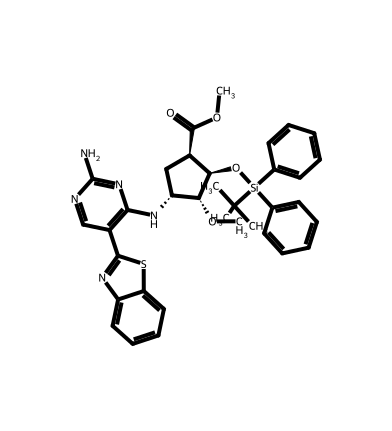 COC(=O)[C@@H]1C[C@@H](Nc2nc(N)ncc2-c2nc3ccccc3s2)[C@@H](OC)[C@@H]1O[Si](c1ccccc1)(c1ccccc1)C(C)(C)C